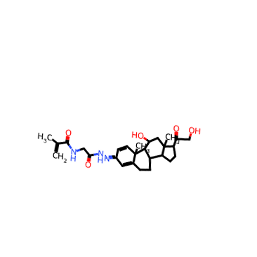 C=C(C)C(=O)NCC(=O)N/N=C1\C=CC2(C)C(=C1)CCC1C2C(O)CC2(C)C(C(=O)CO)CCC12